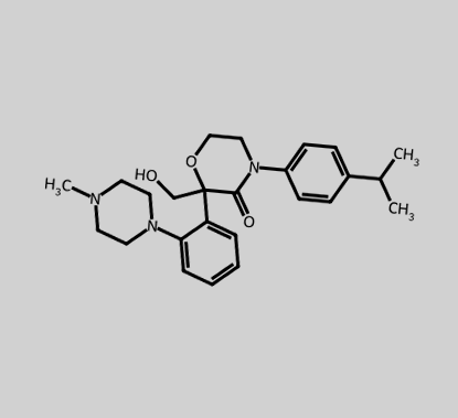 CC(C)c1ccc(N2CCOC(CO)(c3ccccc3N3CCN(C)CC3)C2=O)cc1